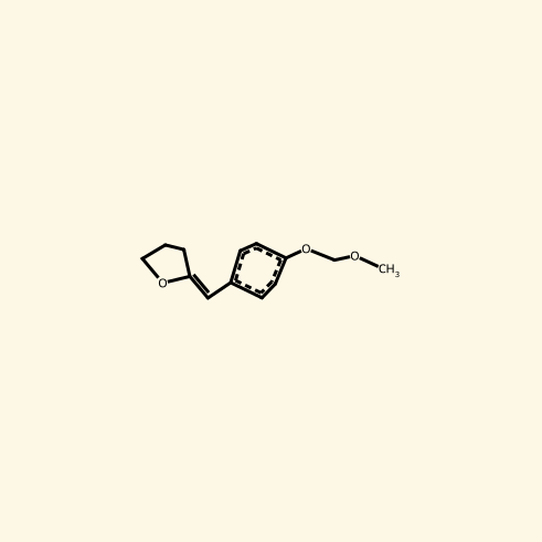 COCOc1ccc(/C=C2\CCCO2)cc1